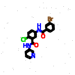 O=C(Nc1ccc(Cl)c(C(=O)Nc2cccnc2)c1)c1cccc(Br)c1